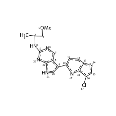 COCC(C)Nc1ncc2c(-c3ccc4ncc(Cl)n4n3)c[nH]c2n1